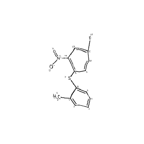 [CH2]c1ccccc1Sc1ccc(F)cc1[N+](=O)[O-]